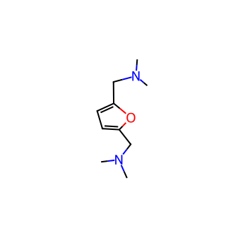 CN(C)Cc1ccc(CN(C)C)o1